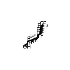 OCCCC(F)(F)C(F)(F)C(F)(F)C(F)(F)CC=C(F)C(F)(F)C(F)(F)C(F)(F)C(F)(F)C(F)(F)F